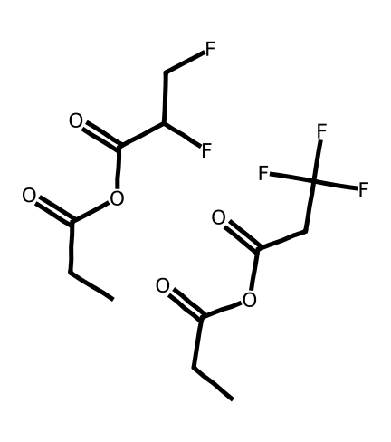 CCC(=O)OC(=O)C(F)CF.CCC(=O)OC(=O)CC(F)(F)F